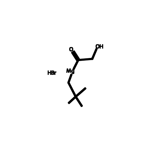 Br.CC(C)(C)[CH2][Mg][C](=O)CO